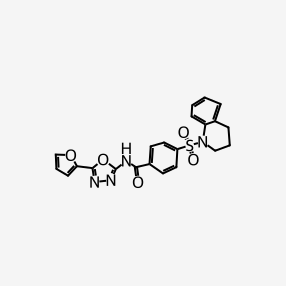 O=C(Nc1nnc(-c2ccco2)o1)c1ccc(S(=O)(=O)N2CCCc3ccccc32)cc1